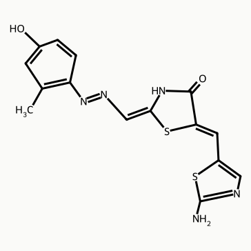 Cc1cc(O)ccc1N=NC=c1[nH]c(=O)c(=Cc2cnc(N)s2)s1